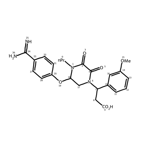 CCCN1C(=O)C(=O)N(C(CC(=O)O)c2cccc(OC)c2)CC1Oc1ccc(C(=N)N)cc1